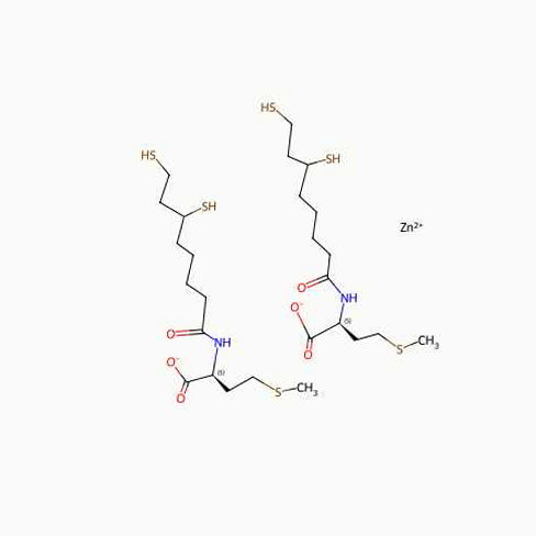 CSCC[C@H](NC(=O)CCCCC(S)CCS)C(=O)[O-].CSCC[C@H](NC(=O)CCCCC(S)CCS)C(=O)[O-].[Zn+2]